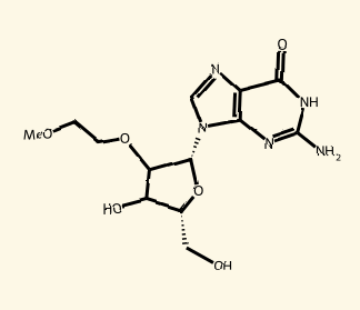 COCCOC1C(O)[C@@H](CO)O[C@H]1n1cnc2c(=O)[nH]c(N)nc21